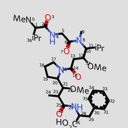 CNC(C(=O)NCC(=O)N(C)C(C(C)C)C(CC(=O)N1CCCC1C(OC)C(C)C(=O)NC(Cc1ccccc1)C(=O)O)OC)C(C)C